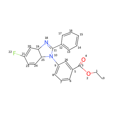 CCOC(=O)c1cccc(N2C(c3ccccc3)=NC3C=C(F)C=CC32)c1